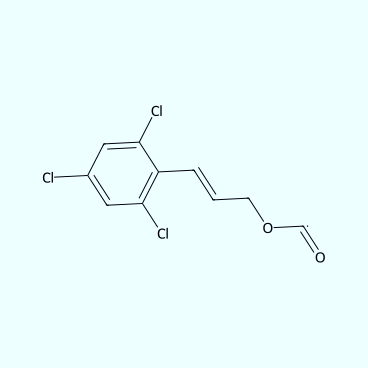 O=[C]OCC=Cc1c(Cl)cc(Cl)cc1Cl